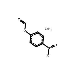 O=COc1ccc([N+](=O)[O-])cc1.[CaH2]